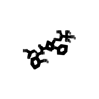 Cc1ccccc1[C@H](CC(=O)O)NC(=O)c1cc(OC[C@@H](O)C(C)(C)C)n(-c2ccccc2)n1